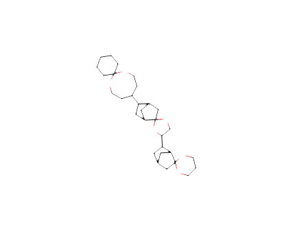 C1CCC2(CC1)OCCC(C1CC3CC1CC31OCC(C3CC4CC3C3(C4)OCCCO3)O1)CCO2